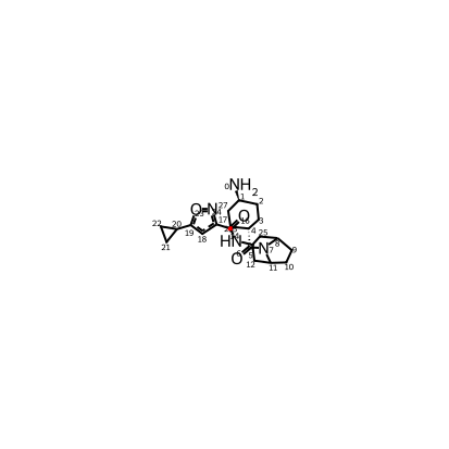 N[C@H]1CC[C@H](C(=O)N2C3CCC2CC(NC(=O)c2cc(C4CC4)on2)C3)CC1